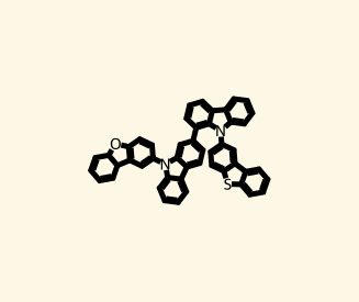 C1=CC2Oc3ccc(-n4c5ccccc5c5ccc(-c6cccc7c8ccccc8n(-c8ccc9sc%10ccccc%10c9c8)c67)cc54)cc3C2C=C1